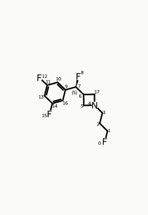 FCCCN1CC([C@H](F)c2cc(F)cc(F)c2)C1